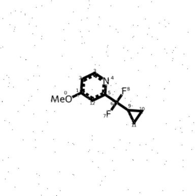 COc1ccnc(C(F)(F)C2CC2)c1